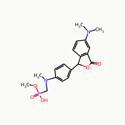 COP(=O)(O)CN(C)c1ccc(C2OC(=O)c3cc(N(C)C)ccc32)cc1